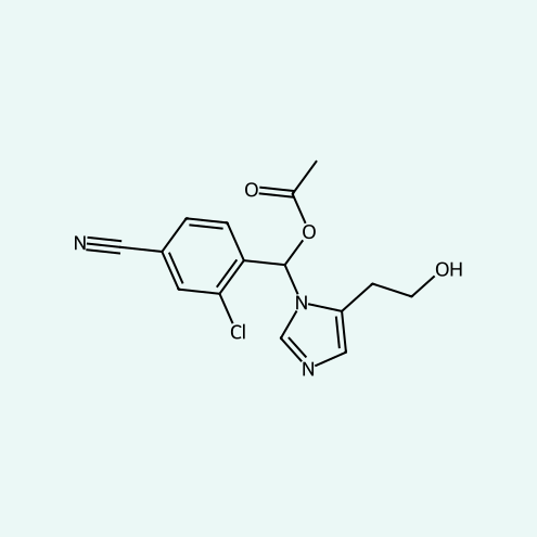 CC(=O)OC(c1ccc(C#N)cc1Cl)n1cncc1CCO